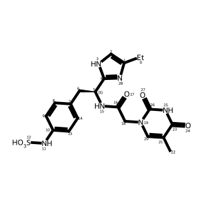 CCc1c[nH]c([C@H](Cc2ccc(NS(=O)(=O)O)cc2)NC(=O)Cn2cc(C)c(=O)[nH]c2=O)n1